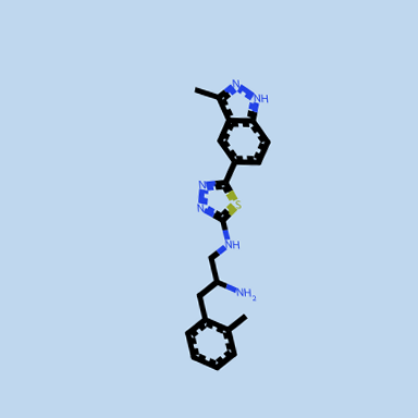 Cc1ccccc1CC(N)CNc1nnc(-c2ccc3[nH]nc(C)c3c2)s1